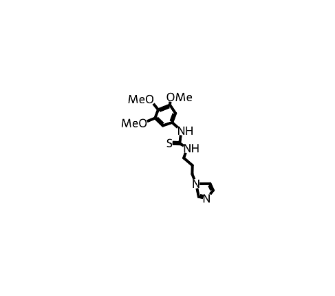 COc1cc(NC(=S)NCCCn2ccnc2)cc(OC)c1OC